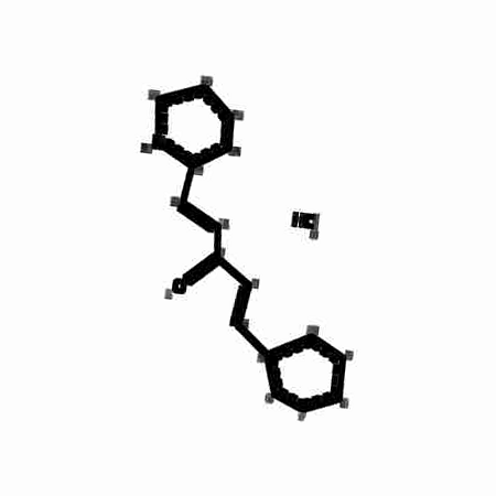 Cl.O=C(C=Cc1ccccc1)C=Cc1ccccn1